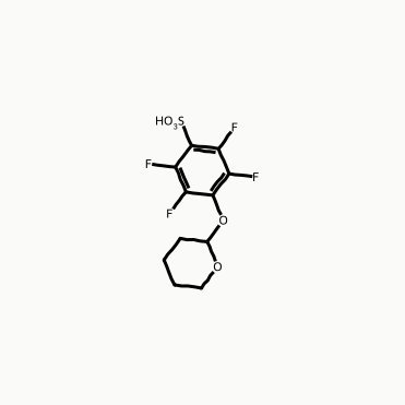 O=S(=O)(O)c1c(F)c(F)c(OC2CCCCO2)c(F)c1F